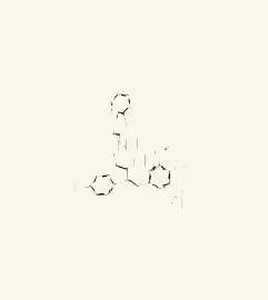 COc1cc(C=C2C(C)=C(CNC(=O)Cc3ccccn3)c3cc(F)ccc32)cc(OC)c1O